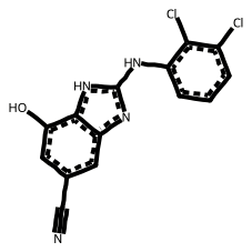 N#Cc1cc(O)c2[nH]c(Nc3cccc(Cl)c3Cl)nc2c1